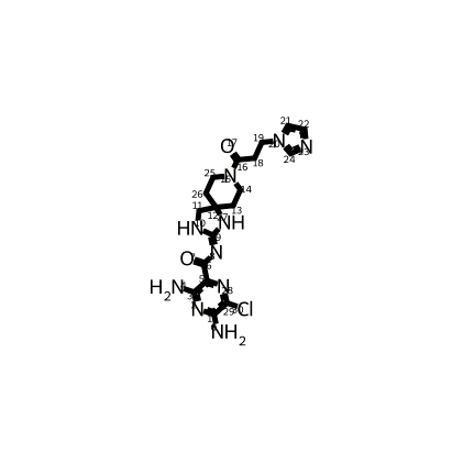 Nc1nc(N)c(C(=O)/N=C2\NCC3(CCN(C(=O)CCn4ccnc4)CC3)N2)nc1Cl